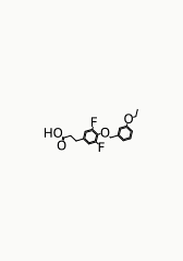 CCOc1cccc(COc2c(F)cc(CCC(=O)O)cc2F)c1